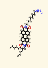 CCCCCCC(CCCC)CN1C(=O)c2ccc3c4ccc5c6c(ccc(c7ccc(c2c37)C1=O)c64)C(=O)N(CCCCCCCCCN)C5=O